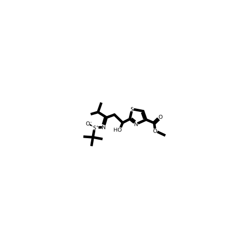 COC(=O)c1csc(C(O)CC(=N[S@@+]([O-])C(C)(C)C)C(C)C)n1